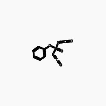 O=C=NP(=O)(N=C=O)Oc1ccccc1